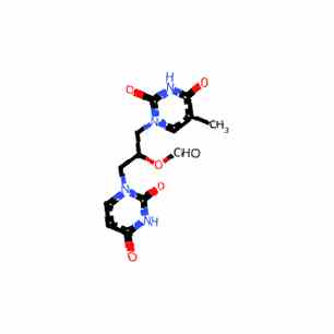 Cc1cn(CC(Cn2ccc(=O)[nH]c2=O)OC=O)c(=O)[nH]c1=O